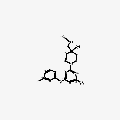 CC(C)(C)NCC1(O)CCN(c2nc(Oc3cccc(F)c3)cc(C(F)(F)F)n2)CC1